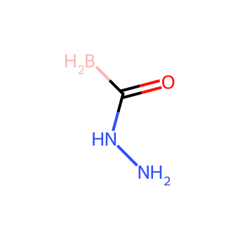 BC(=O)NN